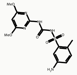 COc1cc(OC)nc(NC(=O)NS(=O)(=O)c2cc(N)ccc2C)n1